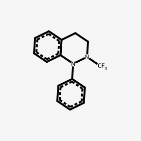 FC(F)(F)N1CCc2ccccc2N1c1ccccc1